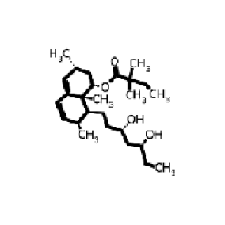 CC[C@H](O)C[C@@H](O)CC[C@H]1[C@@H](C)C=CC2=C[C@H](C)C[C@H](OC(=O)C(C)(C)CC)[C@@]21C